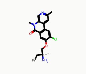 Cc1cc2c3cc(Cl)c(OC[C@@](C)(N)CC(C)C)cc3c(=O)n(C)c2cn1